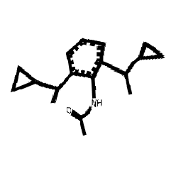 CC(=O)Nc1c(C(C)C2CC2)cccc1C(C)C1CC1